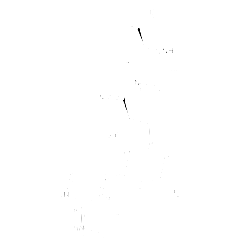 O=C([C@H]1Cc2cc(Cl)cc(-c3ccnc4[nH]ccc34)c2O1)N1CCN[C@H](CO)C1